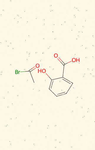 CC(=O)Br.O=C(O)c1ccccc1O